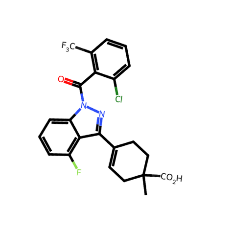 CC1(C(=O)O)CC=C(c2nn(C(=O)c3c(Cl)cccc3C(F)(F)F)c3cccc(F)c23)CC1